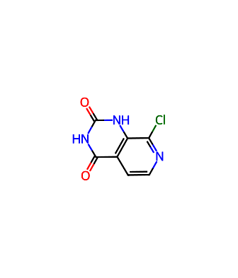 O=c1[nH]c(=O)c2ccnc(Cl)c2[nH]1